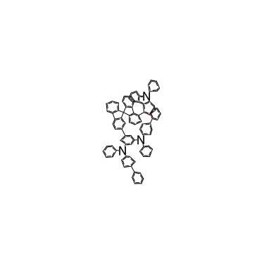 c1ccc(-c2ccc(N(c3ccccc3)c3cc(-c4ccc5c(c4)C4(c6ccccc6-5)c5ccccc5-c5c(-c6cccc7c6c6ccccc6n7-c6ccccc6)cccc54)cc(N(c4ccccc4)c4ccc(-c5ccccc5)cc4)c3)cc2)cc1